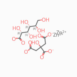 O=C([O-])CC(O)(CC(=O)[O-])C(=O)[O-].O=C([O-])[C@H](O)[C@@H](O)[C@H](O)[C@H](O)CO.[Zn+2].[Zn+2]